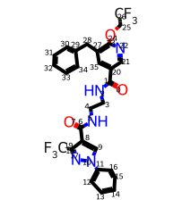 O=C(NCCNC(=O)c1cn(-c2ccccc2)nc1C(F)(F)F)c1cnc(OCC(F)(F)F)c(Cc2ccccc2)c1